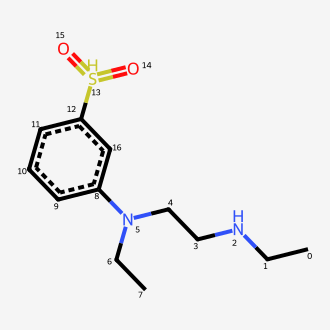 CCNCCN(CC)c1cccc([SH](=O)=O)c1